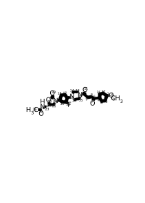 COc1ccc(C(=O)C=CC(=O)N2CCN(c3ccc(N4C[C@H](CNC(C)=O)OC4=O)cc3F)CC2)cc1